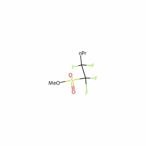 CCCC(F)(F)C(F)(F)S(=O)(=O)OC